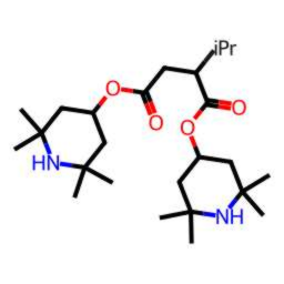 CC(C)C(CC(=O)OC1CC(C)(C)NC(C)(C)C1)C(=O)OC1CC(C)(C)NC(C)(C)C1